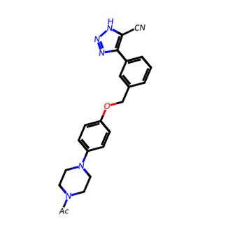 CC(=O)N1CCN(c2ccc(OCc3cccc(-c4nn[nH]c4C#N)c3)cc2)CC1